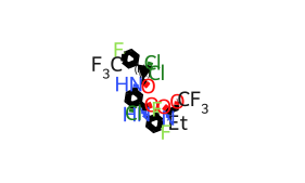 CCN(C(=O)COC(F)(F)F)c1c(F)ccc(NC(=O)c2cc(NC(=O)[C@H]3[C@H](c4ccc(F)c(C(F)(F)F)c4)C3(Cl)Cl)ccc2Cl)c1F